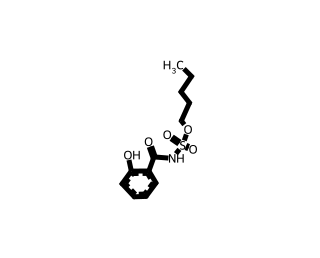 CCCCCOS(=O)(=O)NC(=O)c1ccccc1O